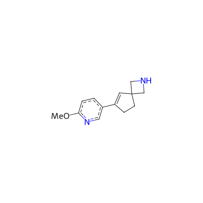 COc1ccc(C2=CC3(CC2)CNC3)cn1